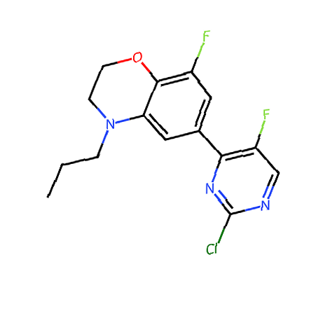 CCCN1CCOc2c(F)cc(-c3nc(Cl)ncc3F)cc21